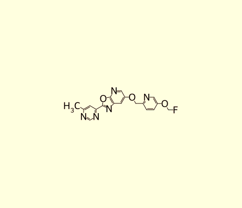 Cc1cc(-c2nc3cc(OCc4ccc(OCF)cn4)cnc3o2)ncn1